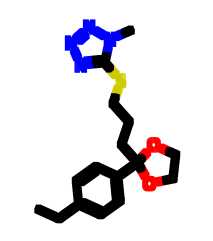 CCc1ccc(C2(CCCSc3nnnn3C)OCCO2)cc1